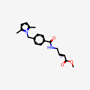 COC(=O)/C=C/CNC(=O)c1ccc(Cn2c(C)ccc2C)cc1